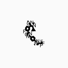 COc1ncnc(C2CC2)c1-c1ccc(F)c(-c2nc(-c3ccc(-c4nc(C(F)(F)F)cn4C)cc3)no2)c1